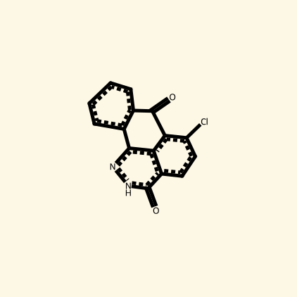 O=C1c2ccccc2-c2n[nH]c(=O)c3ccc(Cl)c1c23